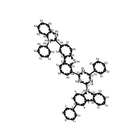 c1ccc(-c2ccc3c(c2)c2ccccc2n3-c2nc(-c3ccccc3)nc(-c3cccc4c3sc3ccc(-c5nc6ccccc6n5-c5ccccc5)cc34)n2)cc1